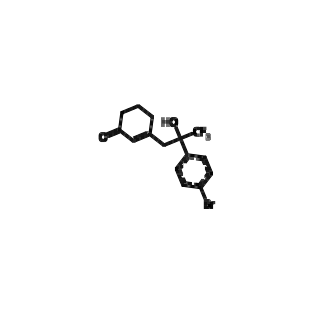 O=C1C=C(CC(O)(c2ccc(Br)cc2)C(F)(F)F)CCC1